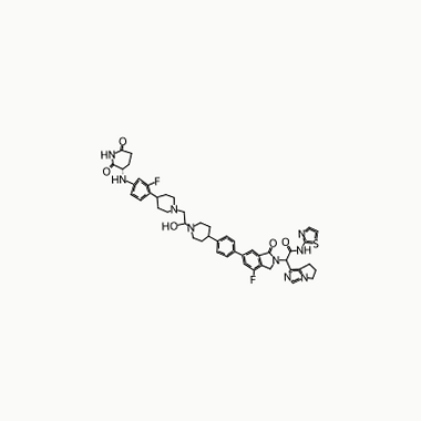 O=C1CC[C@H](Nc2ccc(C3CCN(CC(O)N4CCC(c5ccc(-c6cc(F)c7c(c6)C(=O)N(C(C(=O)Nc6nccs6)c6ncn8c6CCC8)C7)cc5)CC4)CC3)c(F)c2)C(=O)N1